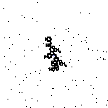 COc1cc(/C=C2/C(C)=C(CC(=O)NCc3cccnc3)c3cc(F)ccc32)cc(OC)c1OCC(=O)O